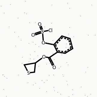 O=C(OC1CSC1)c1ccccc1OS(=O)(=O)Cl